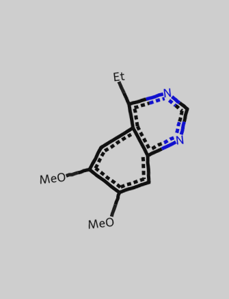 CCc1ncnc2cc(OC)c(OC)cc12